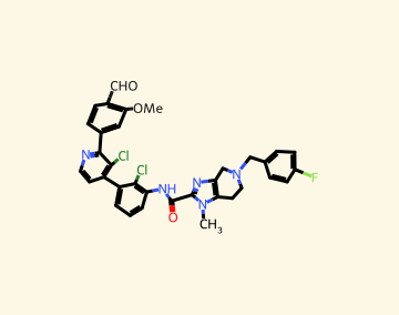 COc1cc(-c2nccc(-c3cccc(NC(=O)c4nc5c(n4C)CCN(Cc4ccc(F)cc4)C5)c3Cl)c2Cl)ccc1C=O